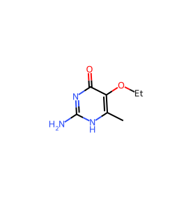 CCOc1c(C)[nH]c(N)nc1=O